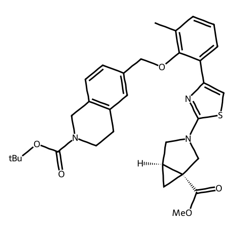 COC(=O)[C@]12C[C@H]1CN(c1nc(-c3cccc(C)c3OCc3ccc4c(c3)CCN(C(=O)OC(C)(C)C)C4)cs1)C2